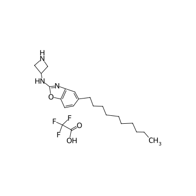 CCCCCCCCCCc1ccc2oc(NC3CNC3)nc2c1.O=C(O)C(F)(F)F